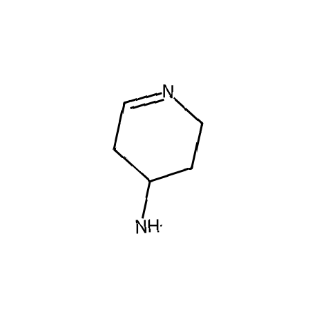 [NH]C1CC=NCC1